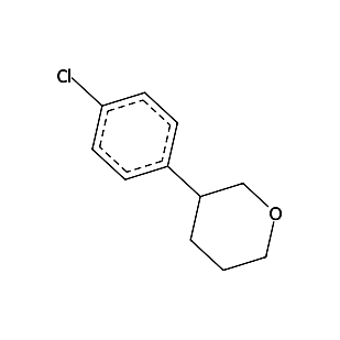 Clc1ccc(C2CCCOC2)cc1